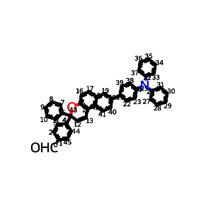 O=Cc1ccc(C2(c3ccccc3)C=Cc3c(ccc4cc(-c5ccc(N(c6ccccc6)c6ccccc6)cc5)ccc34)O2)cc1